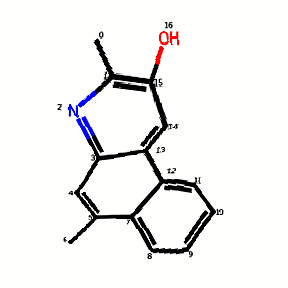 Cc1nc2cc(C)c3ccccc3c2cc1O